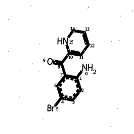 Nc1ccc(Br)cc1C(=O)C1=CC=CCN1